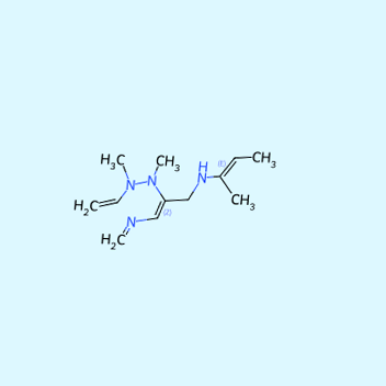 C=CN(C)N(C)/C(=C\N=C)CN/C(C)=C/C